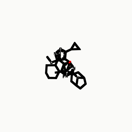 COC(=O)c1cnc(N2C3CCC2CC(OCc2c(C4CCCCC4C(F)(F)F)noc2C2CC2)C3)nc1C